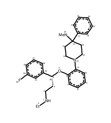 CCNCC[C@@H](Oc1ccccc1N1CCC(NC)(c2ccccc2)CC1)c1cccc(F)c1